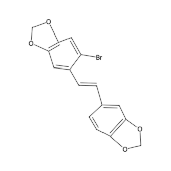 Brc1cc2c(cc1/C=C/c1ccc3c(c1)OCO3)OCO2